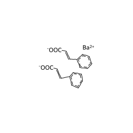 O=C([O-])/C=C/c1ccccc1.O=C([O-])/C=C/c1ccccc1.[Ba+2]